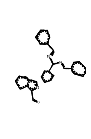 C(=NC(N=Cc1ccccc1)c1ccccc1)c1ccccc1.O=Cc1occ2ccccc12